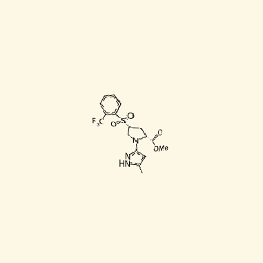 COC(=O)[C@H]1C[C@@H](S(=O)(=O)c2ccccc2C(F)(F)F)CN1c1cc(C)[nH]n1